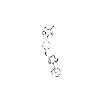 Cc1noc(C2CCC(Cc3noc(C45CCC(CC4)CC5)n3)CC2)n1